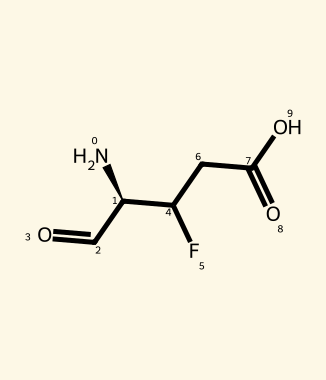 N[C@H](C=O)C(F)CC(=O)O